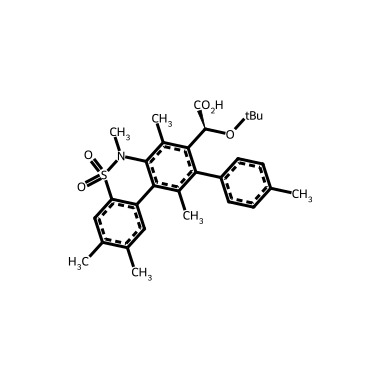 Cc1ccc(-c2c(C)c3c(c(C)c2[C@H](OC(C)(C)C)C(=O)O)N(C)S(=O)(=O)c2cc(C)c(C)cc2-3)cc1